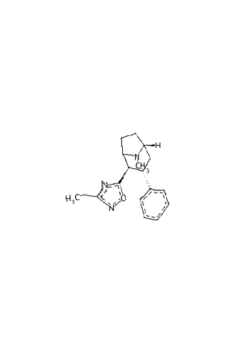 Cc1noc([C@H]2C3CC[C@H](C[C@@H]2c2ccccc2)N3C)n1